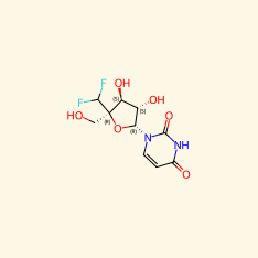 O=c1ccn([C@@H]2O[C@@](CO)(C(F)F)[C@@H](O)[C@@H]2O)c(=O)[nH]1